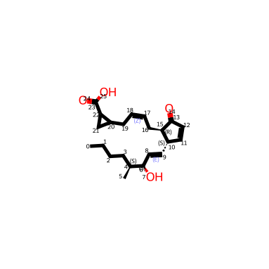 CCCC[C@H](C)[C@H](O)/C=C/[C@H]1C=CC(=O)[C@@H]1C/C=C\CC1CC1C(=O)O